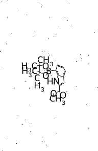 COC(=O)c1cc2cccc(B3OC(C)(C)C(C)(C)O3)c2[nH]1